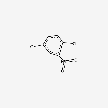 O=[SH](=O)c1cc(Cl)ccc1Cl